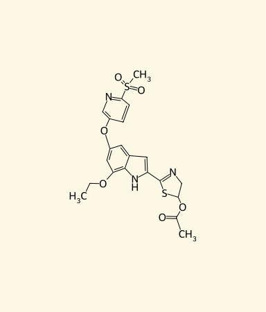 CCOc1cc(Oc2ccc(S(C)(=O)=O)nc2)cc2cc(C3=NCC(OC(C)=O)S3)[nH]c12